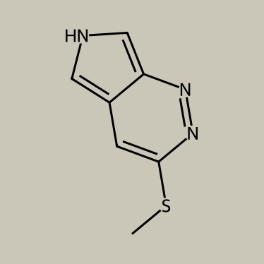 CSc1cc2c[nH]cc2nn1